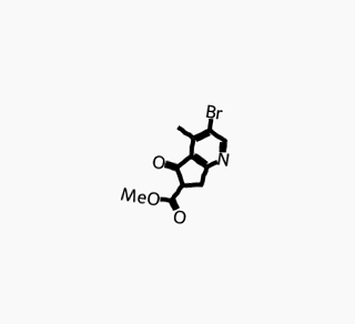 COC(=O)C1Cc2ncc(Br)c(C)c2C1=O